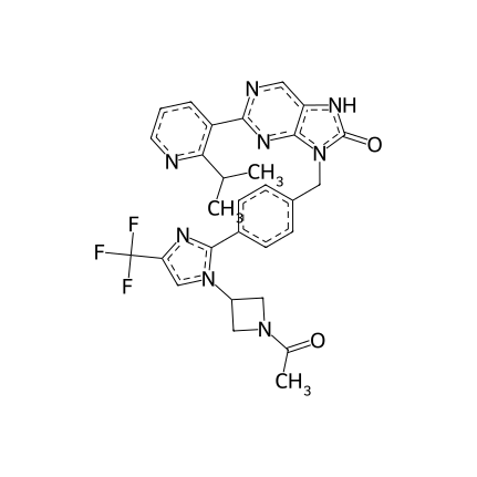 CC(=O)N1CC(n2cc(C(F)(F)F)nc2-c2ccc(Cn3c(=O)[nH]c4cnc(-c5cccnc5C(C)C)nc43)cc2)C1